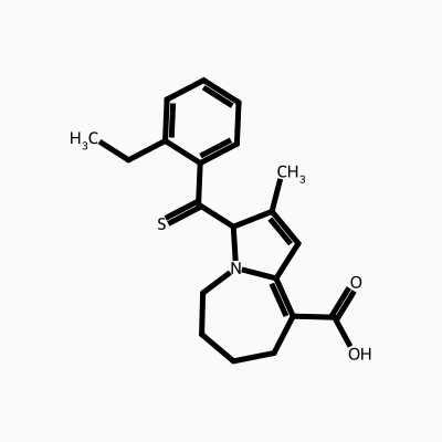 CCc1ccccc1C(=S)C1C(C)=CC2=C(C(=O)O)CCCCN21